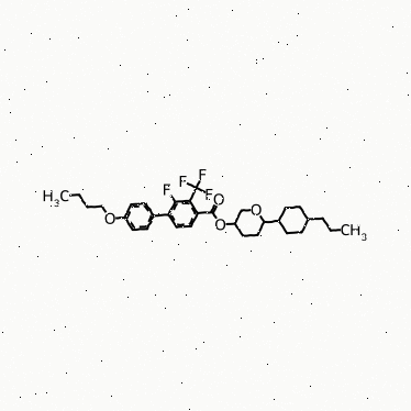 CCCCOc1ccc(-c2ccc(C(=O)OC3CCC(C4CCC(CCC)CC4)OC3)c(C(F)(F)F)c2F)cc1